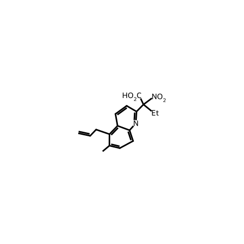 C=CCc1c(C)ccc2nc(C(CC)(C(=O)O)[N+](=O)[O-])ccc12